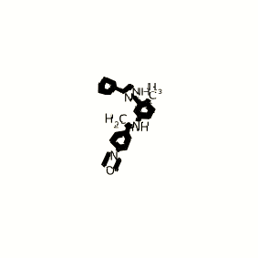 C=C(Nc1ccc(C)c(-c2nc(-c3ccccc3)c[nH]2)c1)c1ccc(N2CCOCC2)cc1